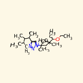 CCOC(C)C(C)(C)CC(C)(C)n1cc(C(C)C(C)C(C)C)nn1